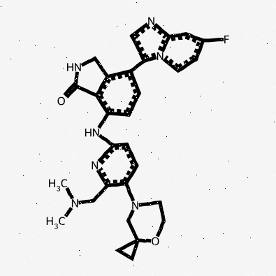 CN(C)Cc1nc(Nc2ccc(-c3cnc4cc(F)ccn34)c3c2C(=O)NC3)ccc1N1CCOC2(CC2)C1